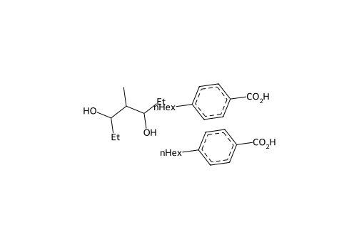 CCC(O)C(C)C(O)CC.CCCCCCc1ccc(C(=O)O)cc1.CCCCCCc1ccc(C(=O)O)cc1